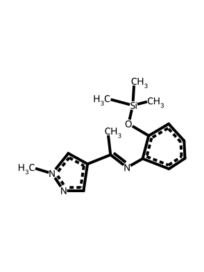 CC(=Nc1ccccc1O[Si](C)(C)C)c1cnn(C)c1